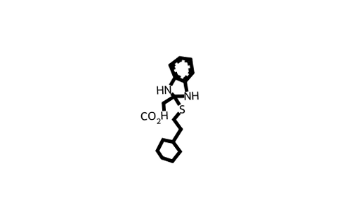 O=C(O)CC1(SCCC2CCCCC2)Nc2ccccc2N1